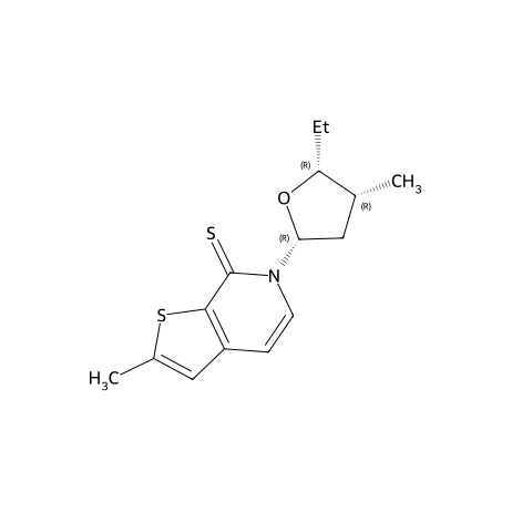 CC[C@H]1O[C@@H](n2ccc3cc(C)sc3c2=S)C[C@H]1C